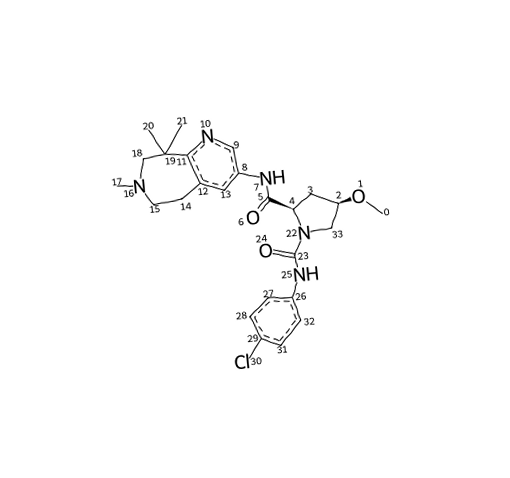 CO[C@@H]1C[C@H](C(=O)Nc2cnc3c(c2)CCN(C)CC3(C)C)N(C(=O)Nc2ccc(Cl)cc2)C1